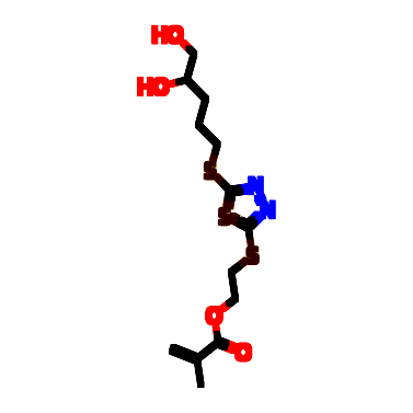 C=C(C)C(=O)OCCSc1nnc(SCCCC(O)CO)s1